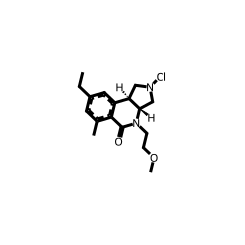 CCc1cc(C)c2c(c1)[C@H]1CN(Cl)C[C@@H]1N(CCOC)C2=O